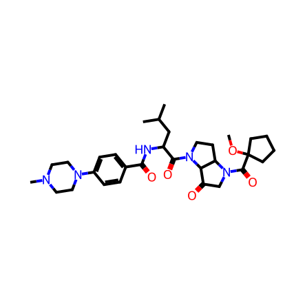 COC1(C(=O)N2CC(=O)C3C2CCN3C(=O)C(CC(C)C)NC(=O)c2ccc(N3CCN(C)CC3)cc2)CCCC1